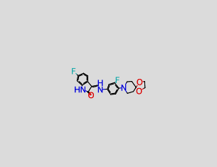 O=C1Nc2cc(F)ccc2C1=CNc1ccc(N2CCC3(CC2)OCCO3)c(F)c1